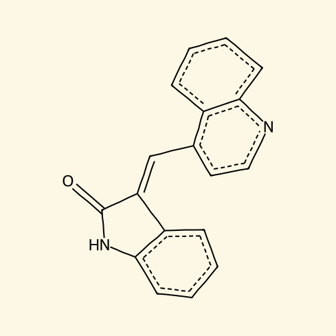 O=C1Nc2ccccc2/C1=C\c1ccnc2ccccc12